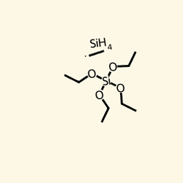 CCO[Si](OCC)(OCC)OCC.[CH2]C.[SiH4]